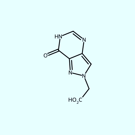 O=C(O)Cn1cc2nc[nH]c(=O)c2n1